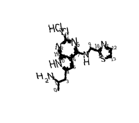 CC(N)Cc1cc2c(NCc3nccs3)nc(Cl)nc2[nH]1.Cl